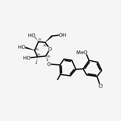 COc1ccc(Cl)cc1-c1ccc(O[C@H]2O[C@H](CO)[C@@H](O)[C@H](O)[C@]2(C)O)c(C)c1